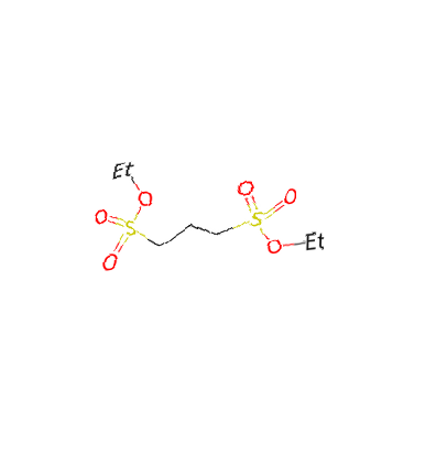 CCOS(=O)(=O)CCCS(=O)(=O)OCC